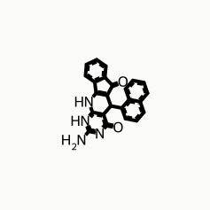 Nc1nc(=O)c2c([nH]1)NC1=C(C(=O)c3ccccc31)C2c1cccc2ccccc12